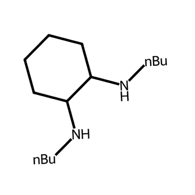 CCCCNC1CCCCC1NCCCC